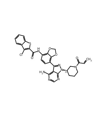 C=CC(=O)N1CCC[C@@H](n2nc(-c3ccc(NC(=O)c4sc5ccccc5c4Cl)c4c3OCO4)c3c(N)ncnc32)C1